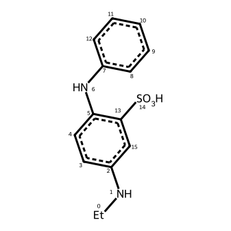 CCNc1ccc(Nc2ccccc2)c(S(=O)(=O)O)c1